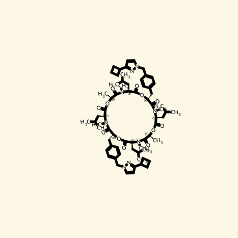 CC(C)C[C@H]1C(=O)O[C@H](Cc2ccc(Cn3ccc(C4CCC4)n3)cc2)C(=O)N(C)[C@@H](CC(C)C)C(=O)O[C@H](C)C(=O)N(C)[C@@H](CC(C)C)C(=O)O[C@H](Cc2ccc(Cn3ccc(C4CCC4)n3)cc2)C(=O)N(C)[C@@H](CC(C)C)C(=O)O[C@H](C)C(=O)N1C